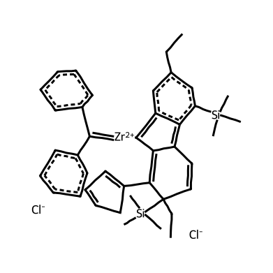 CCc1cc([Si](C)(C)C)c2c(c1)=[C]([Zr+2]=[C](c1ccccc1)c1ccccc1)C1=C(C3=CC=CC3)C(CC)([Si](C)(C)C)C=CC=21.[Cl-].[Cl-]